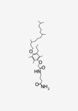 CCCc1c(C)c(OCC(=O)NCCCC(N)=O)c(C)c(C)c1OCCC(C)CCCC(C)CCCC(C)C